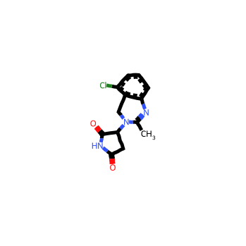 CC1=Nc2cccc(Cl)c2CN1C1CC(=O)NC1=O